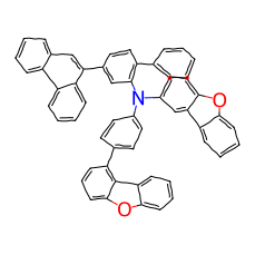 c1ccc(-c2ccc(-c3cc4ccccc4c4ccccc34)cc2N(c2ccc(-c3cccc4oc5ccccc5c34)cc2)c2ccc3oc4ccccc4c3c2)cc1